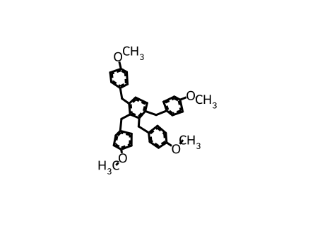 COc1ccc(Cc2ccc(Cc3ccc(OC)cc3)c(Cc3ccc(OC)cc3)c2Cc2ccc(OC)cc2)cc1